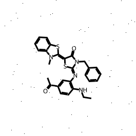 CCNc1ccc(C(C)=O)cc1N=C1SC(=C2Sc3ccccc3N2C)C(=O)N1Cc1ccccc1